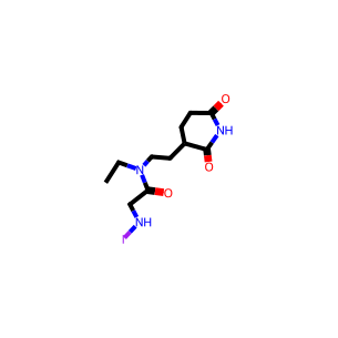 CCN(CCC1CCC(=O)NC1=O)C(=O)CNI